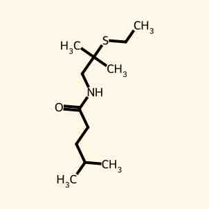 CCSC(C)(C)CNC(=O)CCC(C)C